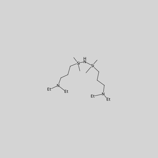 CCN(CC)CCC[Si](C)(C)N[Si](C)(C)CCCN(CC)CC